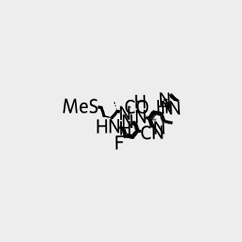 CSCC[C@H](Nc1nc(Nc2cnc(C)c(-n3nccn3)c2)c(C#N)cc1F)[C@H](C)NC(=O)O